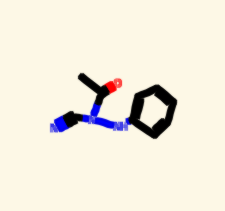 CC(=O)N(C#N)Nc1ccccc1